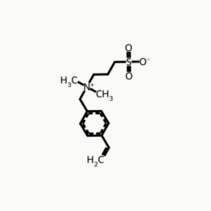 C=Cc1ccc(C[N+](C)(C)CCCS(=O)(=O)[O-])cc1